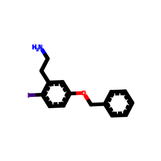 NCCc1cc(OCc2ccccc2)ccc1I